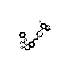 O=C1CCc2ccc(CCN3CCN(c4cc(F)cc5sccc45)CC3)cc2N1C(=O)Oc1ccccc1